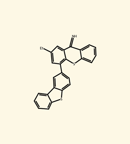 CCc1cc(-c2ccc3sc4ccccc4c3c2)c2sc3ccccc3c(=N)c2c1